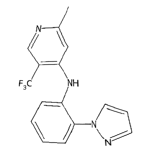 Cc1cc(Nc2ccccc2-n2cccn2)c(C(F)(F)F)cn1